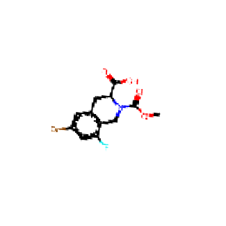 COC(=O)N1Cc2c(F)cc(Br)cc2CC1C(=O)O